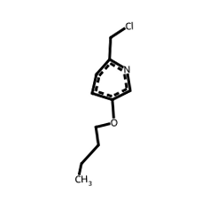 CCCCOc1ccc(CCl)nc1